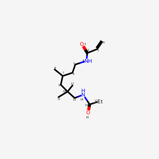 C=CC(=O)NCCC(C)CC(C)(C)CNC(=O)CC